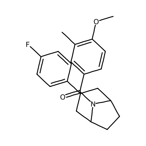 COc1ccc(C(=O)N2C3CCC2CC(c2ccc(F)cc2)C3)cc1C